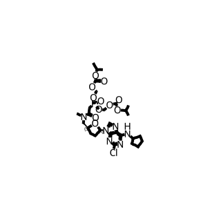 CC(C)OC(=O)OCOP(=O)(CC(=O)N(C)C[C@@H]1CC[C@H](n2cnc3c(NC4CCCC4)nc(Cl)nc32)O1)OCOC(=O)OC(C)C